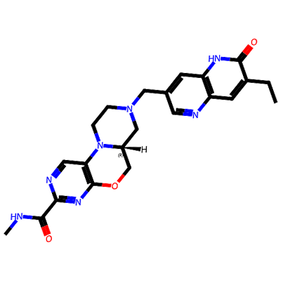 CCc1cc2ncc(CN3CCN4c5cnc(C(=O)NC)nc5OC[C@H]4C3)cc2[nH]c1=O